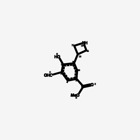 COC(=O)c1cc(C=O)c(O)c(C2CNC2)c1